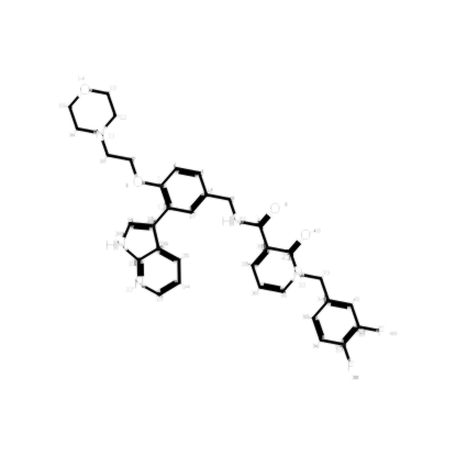 O=C(NCc1ccc(OCCN2CCOCC2)c(-c2c[nH]c3ncccc23)c1)c1cccn(Cc2ccc(F)c(F)c2)c1=O